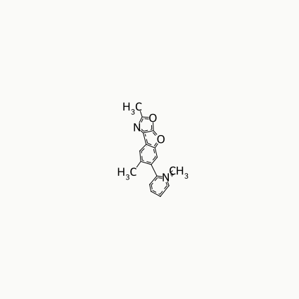 Cc1nc2c(o1)oc1cc(-c3cccc[n+]3C)c(C)cc12